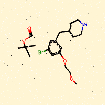 CC(C)(C)OC=O.COCCOc1cc(Br)cc(CC2CCNCC2)c1